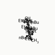 CCCCC(CC)Cc1ccc(-c2c3cc(-c4ccc(C5=C6C(=O)N(CC(CC)CCCC)C(c7ccc(-c8cc9c(-c%10ccc(C(CC)CCCC)s%10)c%10sc(-c%11ncc(C)s%11)cc%10c(-c%10ccc(CC(CC)CCCC)s%10)c9s8)s7)=C6C(=O)N5CC(CC)CCCC)s4)sc3c(-c3ccc(CC(CC)CCCC)s3)c3cc(C)sc23)s1